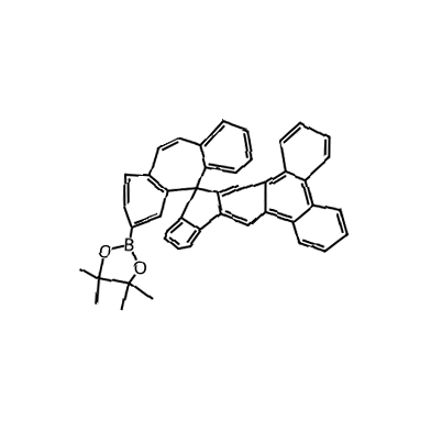 CC1(C)OB(c2ccc3c(c2)C2(c4ccccc4C=C3)c3ccccc3-c3cc4c5ccccc5c5ccccc5c4cc32)OC1(C)C